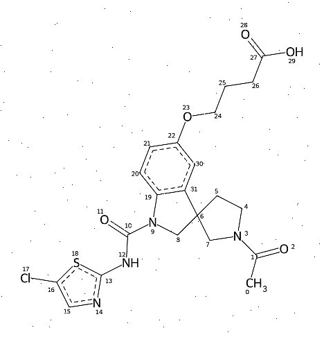 CC(=O)N1CCC2(C1)CN(C(=O)Nc1ncc(Cl)s1)c1ccc(OCCCC(=O)O)cc12